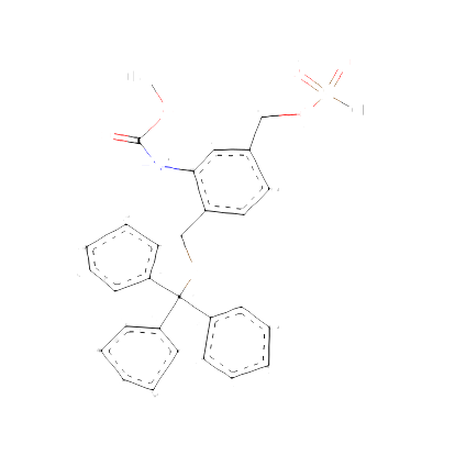 CC(C)(C)OC(=O)Nc1cc(COS(C)(=O)=O)ccc1CSC(c1ccccc1)(c1ccccc1)c1ccccc1